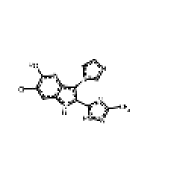 Oc1nc2c(-n3ccnc3)c(-c3nc(C(F)(F)F)n[nH]3)[nH]c2cc1Cl